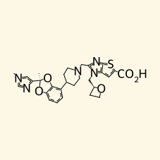 Cn1cnc([C@]2(C)Oc3cccc(C4CCN(Cc5nc6sc(C(=O)O)cc6n5C[C@@H]5CCO5)CC4)c3O2)c1